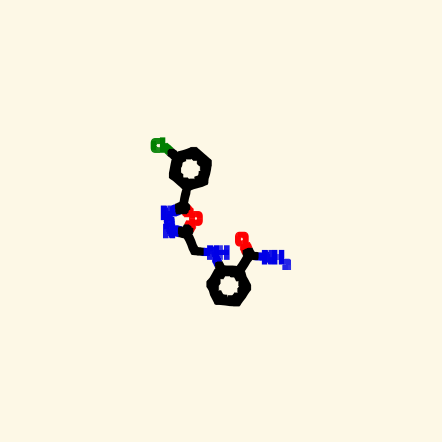 NC(=O)c1ccccc1NCc1nnc(-c2cccc(Cl)c2)o1